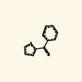 S=C(c1ccccc1)c1cccs1